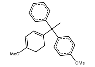 COC1=CC=C(C(C)(c2ccccc2)c2ccc(OC)cc2)CC1